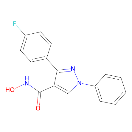 O=C(NO)c1cn(-c2ccccc2)nc1-c1ccc(F)cc1